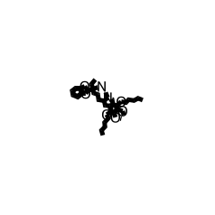 CCCCCOc1c2c(c(OCCCCC)c(OC)c1OC)CN(C)C(CCCC(C#N)(CC)C1Oc3ccccc3O1)C2